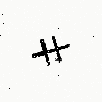 O=S(=O)(F)C(F)(F)[18F]